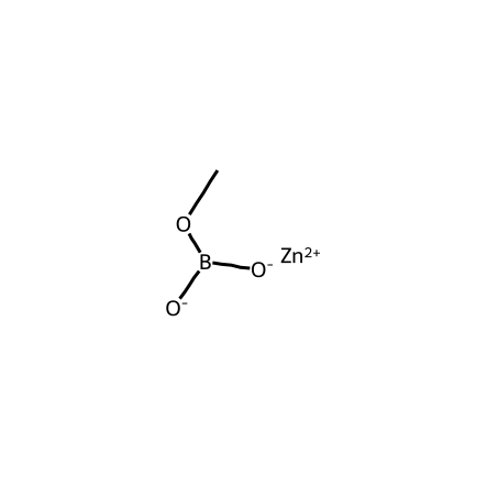 COB([O-])[O-].[Zn+2]